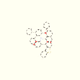 c1ccc(-c2cc3c(c(N(c4ccccc4-c4cccc5sc6ccccc6c45)c4cccc5ccccc45)c2-c2ccccc2)Cc2ccccc2-3)cc1